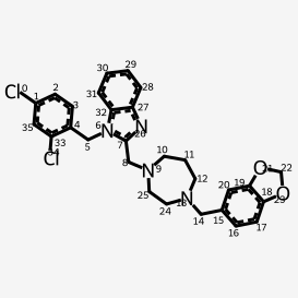 Clc1ccc(Cn2c(CN3CCCN(Cc4ccc5c(c4)OCO5)CC3)nc3ccccc32)c(Cl)c1